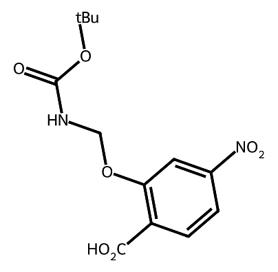 CC(C)(C)OC(=O)NCOc1cc([N+](=O)[O-])ccc1C(=O)O